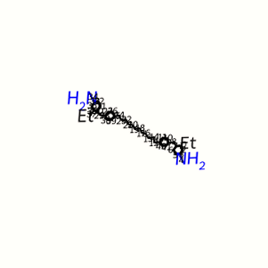 CCc1cc(N)ccc1Cc1ccc(CCCCCCCCCCCCc2ccc(Cc3ccc(N)cc3CC)cc2)cc1